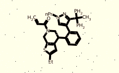 C=CC(=O)N1Cc2sc(CC)cc2C(c2ccccc2-c2cn(CCC)nc2C(C)(P)P)C1